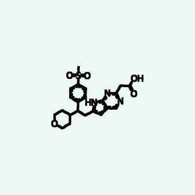 CS(=O)(=O)c1ccc(C(Cc2cc3cnc(CC(=O)O)nc3[nH]2)C2CCOCC2)cc1